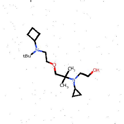 CC(C)(C)N(CCOCC(C)(C)N(CCO)C1CC1)C1CCC1